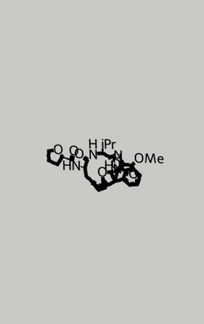 COC(=O)c1nc2oc1C13c4ccccc4N[C@H]1Oc1ccc(cc13)C[C@H](NC(=O)[C@H]1CCCO1)C(=O)N[C@H]2C(C)C